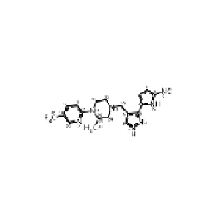 [C-]#[N+]c1ccc(-c2n[nH]cc2CN2CCN(c3ccc(C(F)(F)F)cn3)[C@H](C)C2)[nH]1